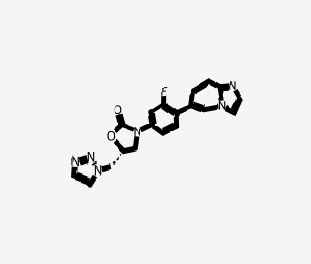 O=C1O[C@@H](Cn2ccnn2)CN1c1ccc(-c2ccc3nccn3c2)c(F)c1